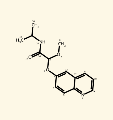 COC(Oc1ccc2ncccc2c1)C(=O)NC(C)C